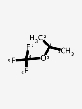 C[C](C)OC(F)(F)F